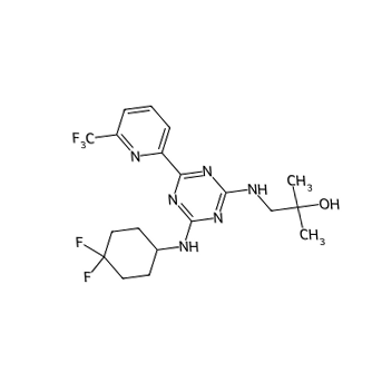 CC(C)(O)CNc1nc(NC2CCC(F)(F)CC2)nc(-c2cccc(C(F)(F)F)n2)n1